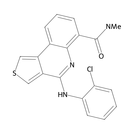 CNC(=O)c1cccc2c1nc(Nc1ccccc1Cl)c1cscc12